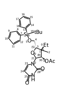 CC[C@]1(C)[C@@H](CO[Si](c2ccccc2)(c2ccccc2)C(C)(C)C)OC(n2ccc(=O)[nH]c2=O)[C@@H]1OC(C)=O